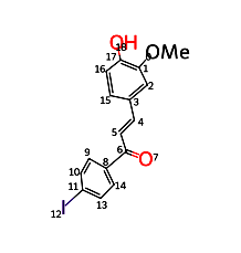 COc1cc(/C=C/C(=O)c2ccc(I)cc2)ccc1O